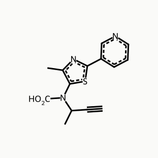 C#CC(C)N(C(=O)O)c1sc(-c2cccnc2)nc1C